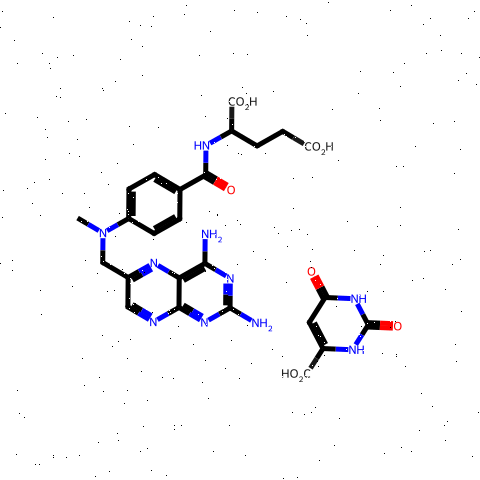 CN(Cc1cnc2nc(N)nc(N)c2n1)c1ccc(C(=O)NC(CCC(=O)O)C(=O)O)cc1.O=C(O)c1cc(=O)[nH]c(=O)[nH]1